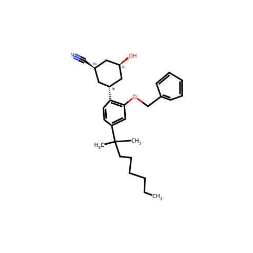 CCCCCCC(C)(C)c1ccc([C@H]2C[C@H](O)C[C@H](C#N)C2)c(OCc2ccccc2)c1